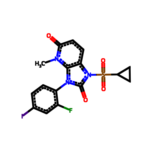 Cn1c(=O)ccc2c1n(-c1ccc(I)cc1F)c(=O)n2S(=O)(=O)C1CC1